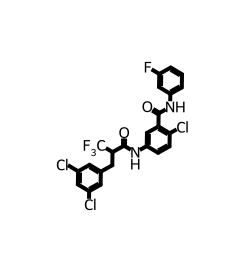 O=C(Nc1cccc(F)c1)c1cc(NC(=O)C(Cc2cc(Cl)cc(Cl)c2)C(F)(F)F)ccc1Cl